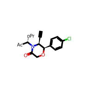 C#C[C@H]1[C@@H](c2ccc(Cl)cc2)OCC(=O)N1[C@@H](CCC)C(C)=O